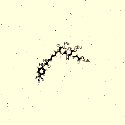 CC(C)(C)OC(=O)CC[C@H](NC(=O)N[C@@H](CCCCNC(=O)Nc1cc[c]([Sn]([CH3])([CH3])[CH3])cc1)C(=O)OC(C)(C)C)C(=O)OC(C)(C)C